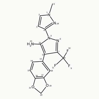 Cn1ccc(-n2nc(C(F)(F)F)c(-c3ccc4c(c3)OCO4)c2N)n1